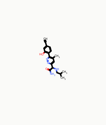 C#Cc1ccc(-c2nnc(C(NCC(C)C)C(N)=O)cc2C)c(O)c1